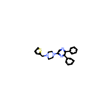 c1ccc(-c2ncc(N3CCN(Cc4cccs4)CC3)nc2-c2ccccc2)cc1